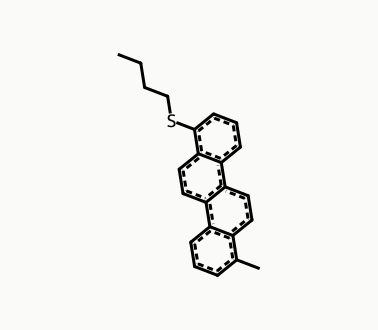 CCCCSc1cccc2c1ccc1c3cccc(C)c3ccc21